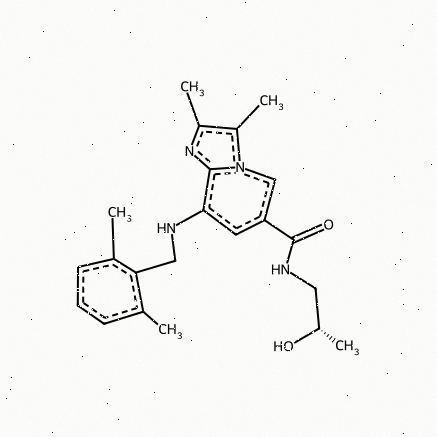 Cc1cccc(C)c1CNc1cc(C(=O)NC[C@H](C)O)cn2c(C)c(C)nc12